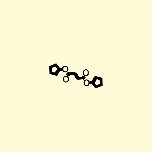 O=C(/C=C/C(=O)OC1=CCCC1)OC1=CCCC1